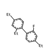 CCc1ccc(-c2ccc(CC)cc2CC)c(F)c1